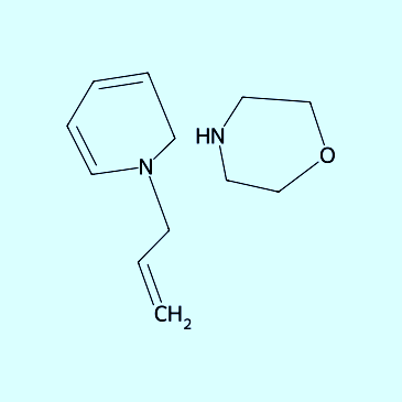 C1COCCN1.C=CCN1C=CC=CC1